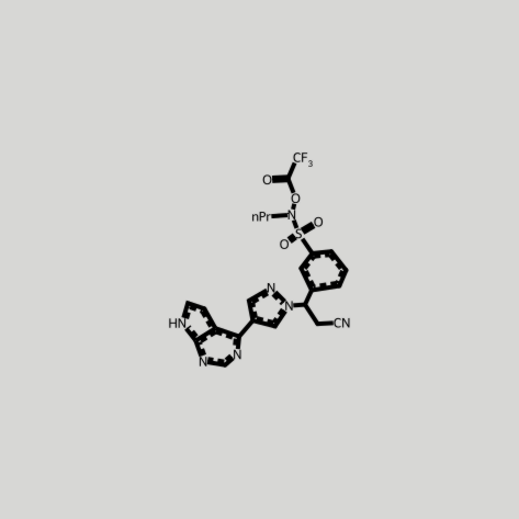 CCCN(OC(=O)C(F)(F)F)S(=O)(=O)c1cccc(C(CC#N)n2cc(-c3ncnc4[nH]ccc34)cn2)c1